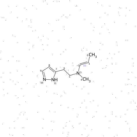 C/C=C/N(C)CCc1ccn[nH]1